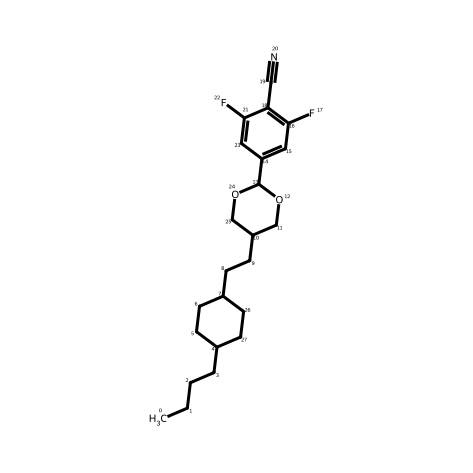 CCCCC1CCC(CCC2COC(c3cc(F)c(C#N)c(F)c3)OC2)CC1